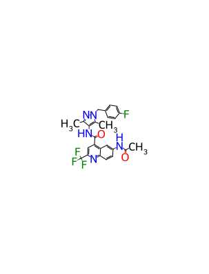 CC(=O)Nc1ccc2nc(C(F)(F)F)cc(C(=O)Nc3c(C)nn(Cc4ccc(F)cc4)c3C)c2c1